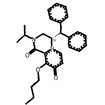 CCCCOc1c2n(ccc1=O)[C@@H](C(c1ccccc1)c1ccccc1)CN(C(C)C)C2=O